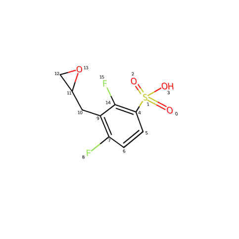 O=S(=O)(O)c1ccc(F)c(CC2CO2)c1F